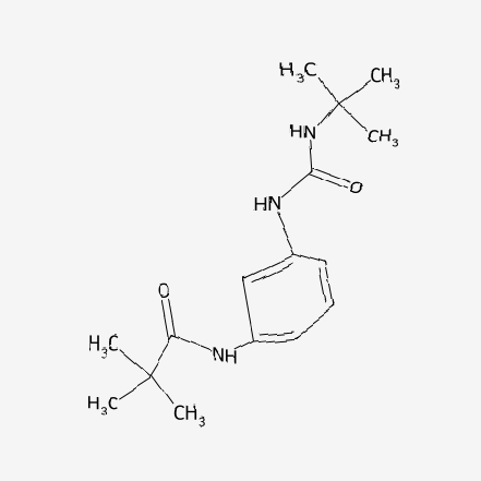 CC(C)(C)NC(=O)Nc1cccc(NC(=O)C(C)(C)C)c1